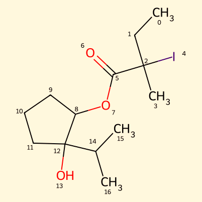 CCC(C)(I)C(=O)OC1CCCC1(O)C(C)C